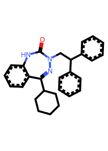 O=C1Nc2ccccc2C(C2CCCCC2)=NN1CC(c1ccccc1)c1ccccc1